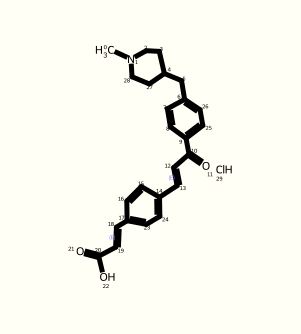 CN1CCC(Cc2ccc(C(=O)/C=C/c3ccc(/C=C/C(=O)O)cc3)cc2)CC1.Cl